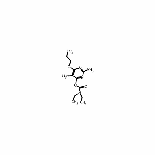 CCCOc1nc(N)nc(OC(=O)N(CC)CC)c1N